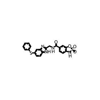 O=C(NCc1nc2cc(Sc3ccccc3)ccc2[nH]1)c1ccc2c(c1)OS(=O)(=O)N2